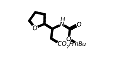 CCCCOC(=O)NC(CC(=O)O)C1CCCO1